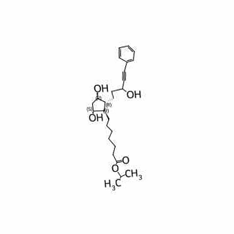 CC(C)OC(=O)CCCCCC[C@@H]1[C@@H](CCC(O)C#Cc2ccccc2)[C@H](O)C[C@@H]1O